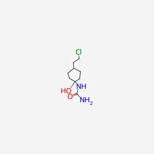 NC(=O)NC1(O)CCC(CCCl)CC1